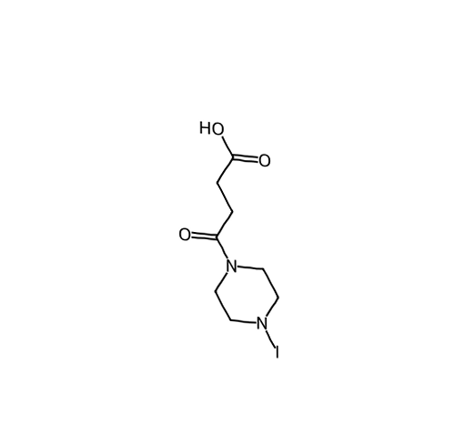 O=C(O)CCC(=O)N1CCN(I)CC1